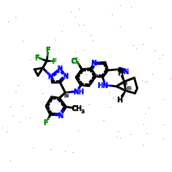 Cc1nc(F)ccc1[C@H](Nc1cc(Cl)c2ncc(C#N)c(NC3[C@H]4CCC[C@@H]34)c2c1)c1cn(C2(C(F)(F)F)CC2)nn1